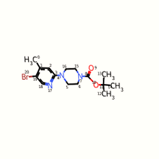 Cc1cc(N2CCN(C(=O)OC(C)(C)C)CC2)ncc1Br